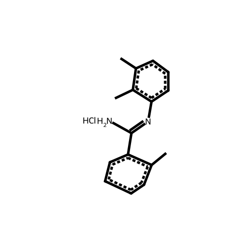 Cc1ccccc1C(N)=Nc1cccc(C)c1C.Cl